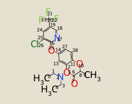 CCN(CC)OC(=O)C(C)Oc1ccc(Oc2ncc(C(F)(F)F)cc2Cl)cc1